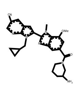 COc1cc(C(=O)N2CCCC(N)C2)cc2nc(-c3cc4cc(C#N)cnc4n3CC3CC3)n(C)c12